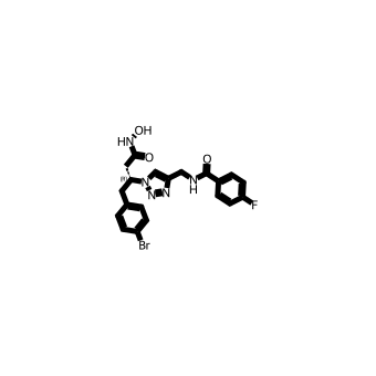 O=C(C[C@@H](Cc1ccc(Br)cc1)n1cc(CNC(=O)c2ccc(F)cc2)nn1)NO